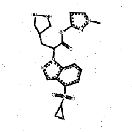 Cn1ccc(NC(=O)C(CC2CNNC2)n2ncc3c(S(=O)(=O)C4CC4)cccc32)n1